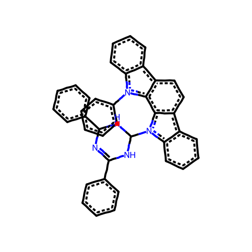 c1ccc(C2=NC(c3ccccc3)NC(n3c4ccccc4c4ccc5c6ccccc6n(-c6ccccc6)c5c43)N2)cc1